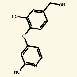 N#Cc1cc(Oc2ccc(CO)cc2C#N)ccn1